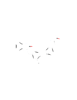 COC(=O)[C@@H](N)Cc1ccc(Oc2ccc(CC3C(=O)Nc4ccccc43)cc2C(F)(F)F)cc1